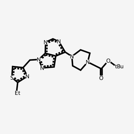 CCc1nc(Cn2ncc3c(N4CCN(C(=O)OC(C)(C)C)CC4)ncnc32)cs1